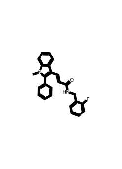 Cn1c(-c2ccccc2)c(C=CC(=O)NCc2ccccc2F)c2ccccc21